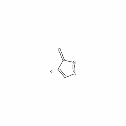 O=C1C=CN=N1.[K]